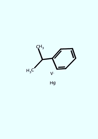 CC(C)c1ccccc1.[Hg].[V]